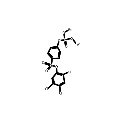 CCCSP(=O)(OCC)Oc1ccc(S(=O)(=O)Oc2cc(Cl)c(Cl)cc2Cl)cc1